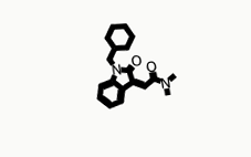 CN(C)C(=O)C=C1C(=O)N(CC2CCCCC2)c2ccccc21